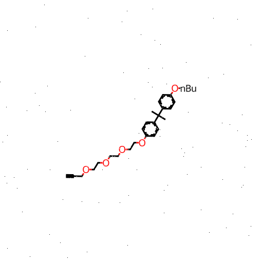 C#CCOCCOCCOCCOc1ccc(C(C)(C)c2ccc(OCCCC)cc2)cc1